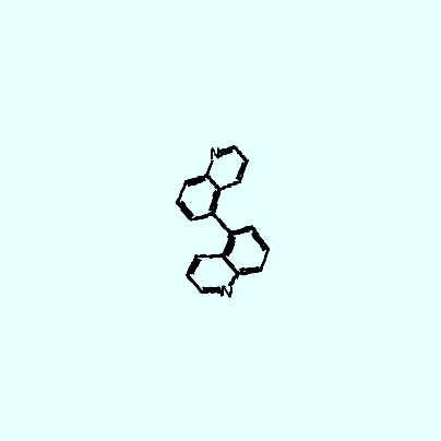 c1cc(-c2cccc3ncccc23)c2cccnc2c1